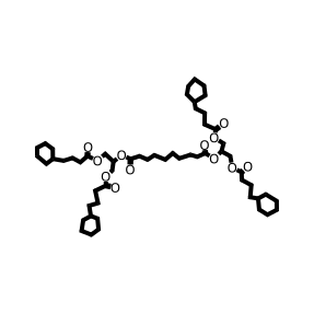 O=C(CCCC1CCCCC1)OCC(COC(=O)CCCC1CCCCC1)OC(=O)CCCCCCCCC(=O)OC(COC(=O)CCCC1CCCCC1)COC(=O)CCCC1CCCCC1